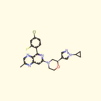 Cc1cnc2c(-c3ccc(Cl)cc3F)nc(N3CCO[C@H](c4cnn(C5CC5)c4)C3)cc2n1